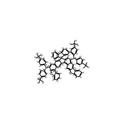 CC(C)(C)c1ccc(N(c2ccc(C(C)(C)C)cc2)c2cc3c(c4cc5oc6ccccc6c5cc24)-c2cc4c(cc2C32c3ccccc3-c3ccccc32)cc(N(c2ccc(C(C)(C)C)cc2)c2ccc(C(C)(C)C)cc2)c2oc3ccccc3c24)cc1